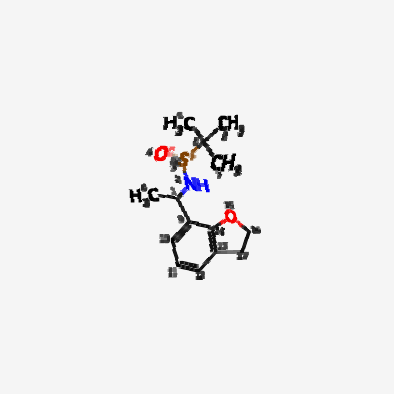 CC(N[S@+]([O-])C(C)(C)C)c1cccc2c1OCC2